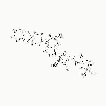 O=P(O)(O)CP(=O)(O)OC[C@H]1O[C@@H](n2cnc3c(N4CCC5(CC4)Cc4ccccc4C5)nc(Cl)nc32)[C@@H](O)C1O